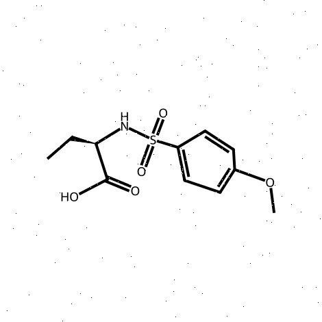 CC[C@@H](NS(=O)(=O)c1ccc(OC)cc1)C(=O)O